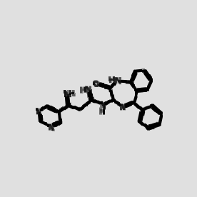 N=C(CC(=N)c1cncnc1)NC1N=C(c2ccccc2)c2ccccc2NC1=O